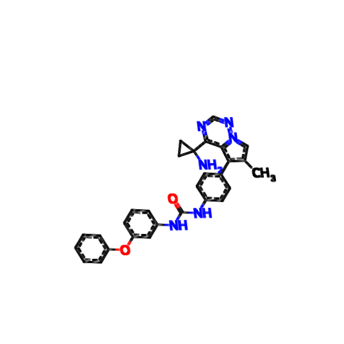 Cc1cn2ncnc(C3(N)CC3)c2c1-c1ccc(NC(=O)Nc2cccc(Oc3ccccc3)c2)cc1